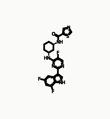 O=C(N[C@H]1CCC[C@@H](Nc2nc(-c3c[nH]c4c(F)cc(F)cc34)ncc2F)C1)c1cncs1